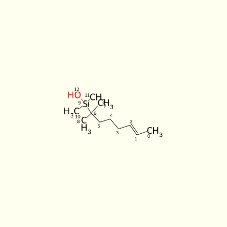 CC=CCCCC(C)(C)[Si](C)(C)O